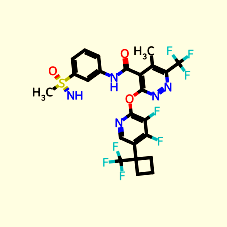 Cc1c(C(F)(F)F)nnc(Oc2ncc(C3(C(F)(F)F)CCC3)c(F)c2F)c1C(=O)Nc1cccc(S(C)(=N)=O)c1